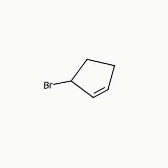 BrC1C=CCC1